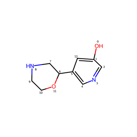 Oc1cncc(C2CNCCO2)c1